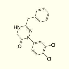 O=C1CNC(Cc2ccccc2)=NN1c1ccc(Cl)c(Cl)c1